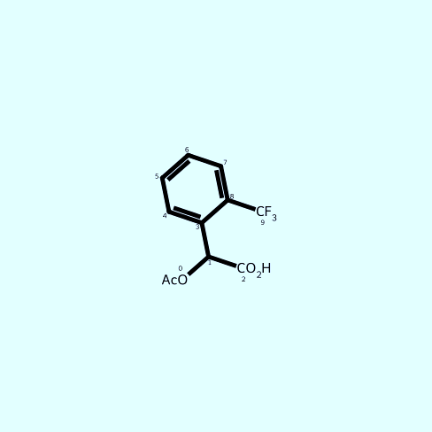 CC(=O)OC(C(=O)O)c1ccccc1C(F)(F)F